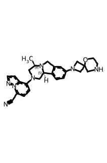 C[C@@H]1CN(c2ccc(C#N)n3nccc23)C[C@@H]2c3ccc(N4CC5(CNCCO5)C4)cc3CN12